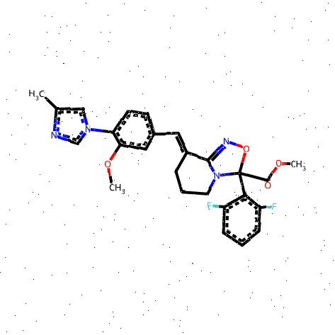 COC(=O)C1(c2c(F)cccc2F)ON=C2/C(=C/c3ccc(-n4cnc(C)c4)c(OC)c3)CCCN21